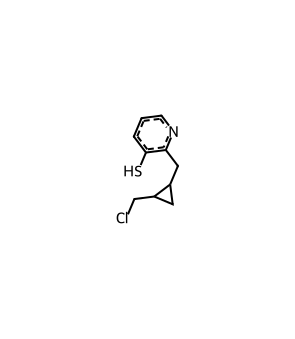 Sc1cccnc1CC1CC1CCl